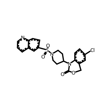 O=C1OCc2cc(Cl)ccc2N1C1CCN(S(=O)(=O)c2ccc3ncccc3c2)CC1